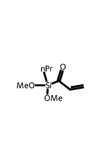 C=CC(=O)[Si](CCC)(OC)OC